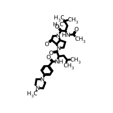 CC(=O)NC(CC(C)(C)C)C(=O)N1CC(=O)C2C1CCN2C(=O)C(CC(C)C)NC(=O)c1ccc(N2CCN(C)CC2)cc1